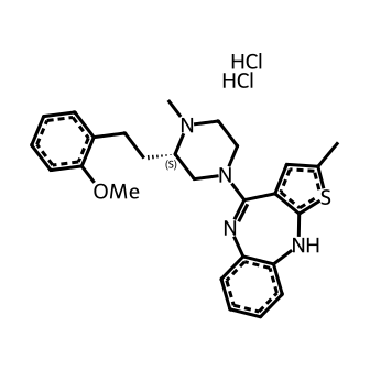 COc1ccccc1CC[C@H]1CN(C2=Nc3ccccc3Nc3sc(C)cc32)CCN1C.Cl.Cl